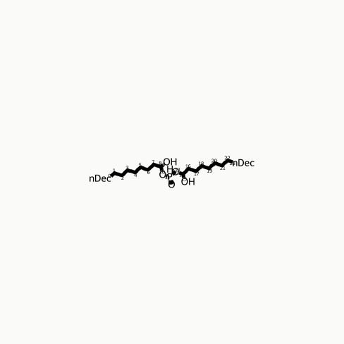 CCCCCCCCCCCCCCCCCC(O)O[PH](=O)OC(O)CCCCCCCCCCCCCCCCC